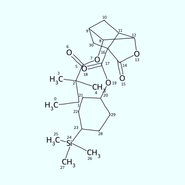 CCC(C)(C)C(=O)OC1C2CC3C1OC(=O)C3(C(=O)OC1CCC([Si](C)(C)C)CC1)C2